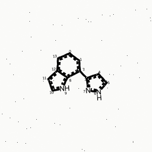 c1cc(-c2cc[nH]n2)c2[nH]ccc2c1